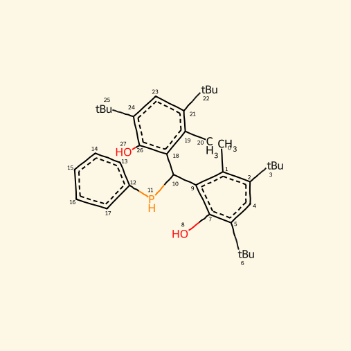 Cc1c(C(C)(C)C)cc(C(C)(C)C)c(O)c1C(Pc1ccccc1)c1c(C)c(C(C)(C)C)cc(C(C)(C)C)c1O